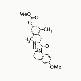 COC(=O)Oc1cc(C)c(CC(N)C(=O)N2CCCc3cc(OC)ccc32)c(C)c1